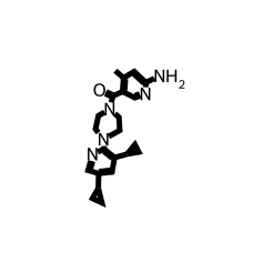 Cc1cc(N)ncc1C(=O)N1CCN(c2ncc(C3CC3)cc2C2CC2)CC1